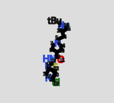 CC(C)(C)n1cc(CCN2CCC(C(=O)Nc3nc4cnc(Cl)cc4s3)CC2)cn1